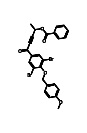 COc1ccc(COc2c(Br)cc(C(=O)C#CC(C)OC(=O)c3ccccc3)cc2Br)cc1